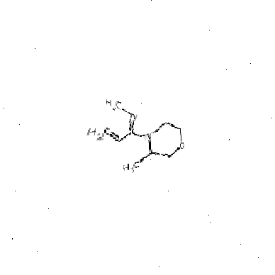 C=C/C(=N\C)N1CCOC[C@H]1C